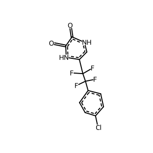 O=c1[nH]cc(C(F)(F)C(F)(F)c2ccc(Cl)cc2)[nH]c1=O